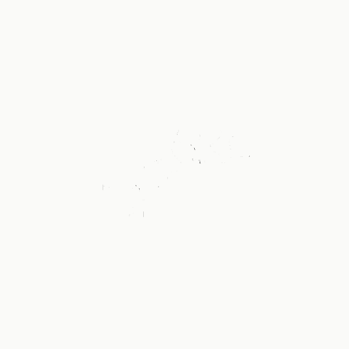 CCCN(CCC)C1Cc2cc3c(cc2C1)C(=O)N(Cc1ccc(F)cc1)C3=O